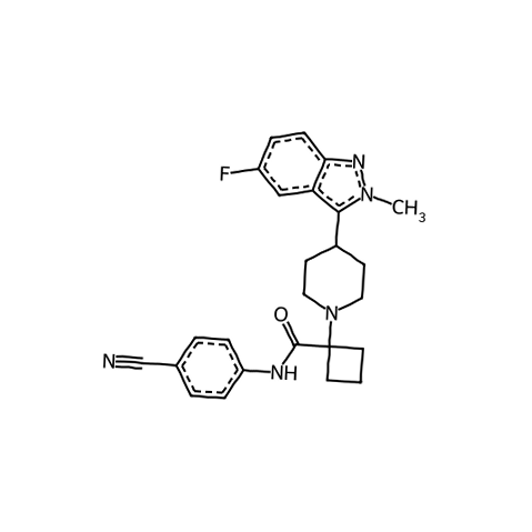 Cn1nc2ccc(F)cc2c1C1CCN(C2(C(=O)Nc3ccc(C#N)cc3)CCC2)CC1